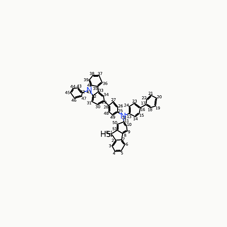 C[SiH]1c2ccccc2-c2ccc(N(c3ccc(-c4ccccc4)cc3)c3ccc(-c4ccc5c(c4)c4ccccc4n5-c4ccccc4)cc3)cc21